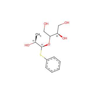 C[C@H](O)[C@@H](OC(CO)[C@H](O)CO)Sc1ccccc1